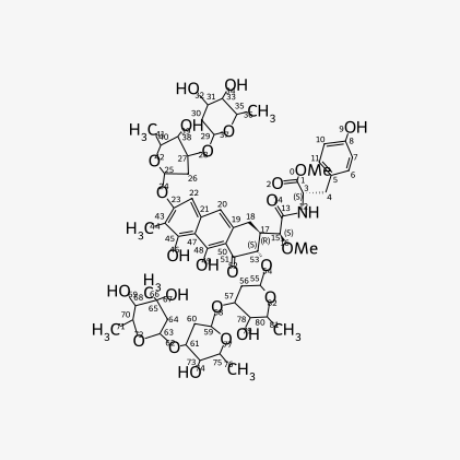 COC(=O)[C@H](Cc1ccc(O)cc1)NC(=O)[C@@H](OC)[C@@H]1Cc2cc3cc(OC4CC(OC5CC(O)C(O)C(C)O5)C(O)C(C)O4)c(C)c(O)c3c(O)c2C(=O)[C@H]1OC1CC(OC2CC(OC3CC(C)(O)C(O)C(C)O3)C(O)C(C)O2)C(O)C(C)O1